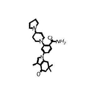 Cc1cn(-c2ccc(C(N)=O)c(N3CCC(N4CCCC4)CC3)c2)c2c1C(=O)CC(C)(C)C2